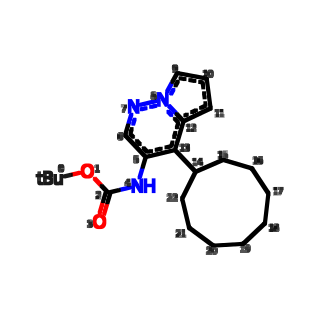 CC(C)(C)OC(=O)Nc1cnn2cccc2c1C1CCCCCCCC1